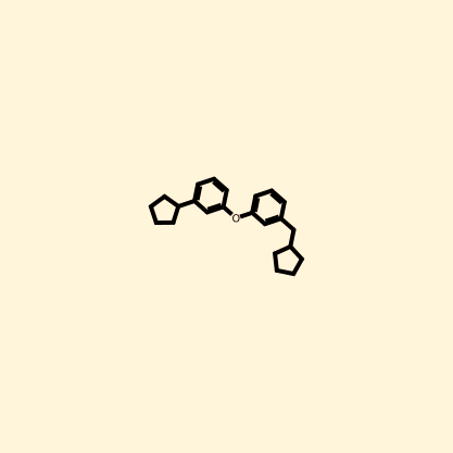 c1cc(CC2CCCC2)cc(Oc2cccc(C3CCCC3)c2)c1